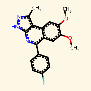 COc1cc2c(-c3ccc(F)cc3)nc3[nH]nc(C)c3c2cc1OC